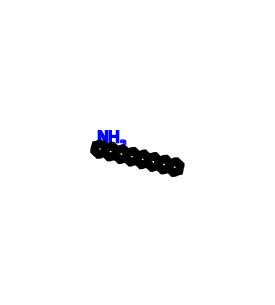 Nc1cccc2cc3cc4cc5cc6cc7cc8ccccc8cc7cc6cc5cc4cc3cc12